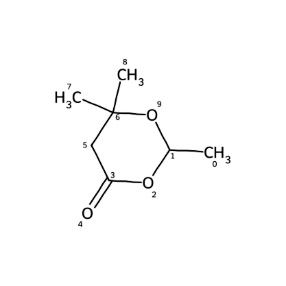 CC1OC(=O)CC(C)(C)O1